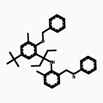 CCC(CC)(Pc1c(C)cccc1CPc1ccccc1)c1cc(C(C)(C)C)cc(C)c1OCc1ccccc1